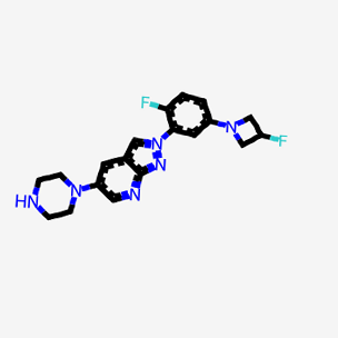 Fc1ccc(N2CC(F)C2)cc1-n1cc2cc(N3CCNCC3)cnc2n1